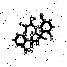 CC(COC(C#N)C(F)F)(NS(=O)(=O)c1ccccc1[N+](=O)[O-])c1cc(Br)ccc1F